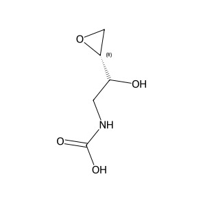 O=C(O)NCC(O)[C@H]1CO1